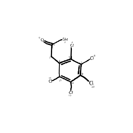 O=C(S)Cc1c(Cl)c(Cl)c(Cl)c(Cl)c1Cl